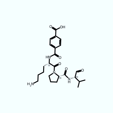 CC(C)[C@@H](C=O)NC(=O)[C@@H]1CCCN1C(=O)[C@H](CCCCN)NC(=O)c1ccc(C(=O)O)cc1